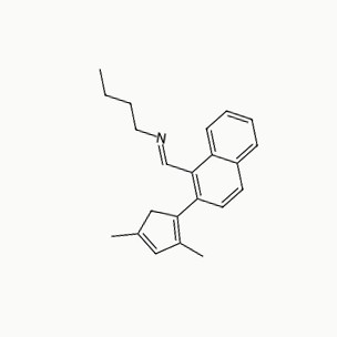 CCCCN=Cc1c(C2=C(C)C=C(C)C2)ccc2ccccc12